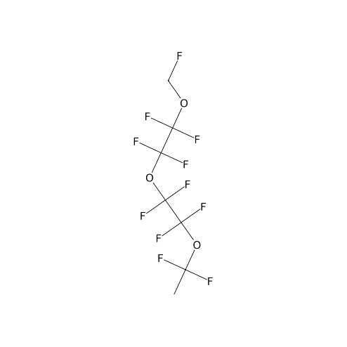 CC(F)(F)OC(F)(F)C(F)(F)OC(F)(F)C(F)(F)OCF